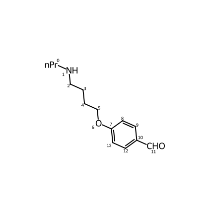 CCCNCCCCOc1ccc(C=O)cc1